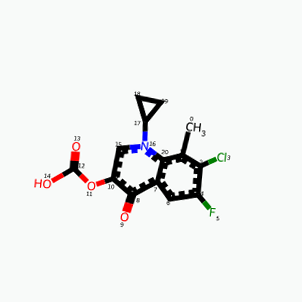 Cc1c(Cl)c(F)cc2c(=O)c(OC(=O)O)cn(C3CC3)c12